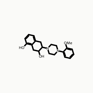 COc1ccccc1N1CCN(C2Cc3cccc(O)c3CC2O)CC1